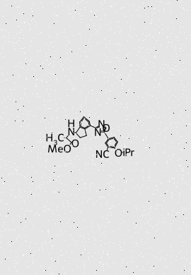 [C-]#[N+]c1cc(-c2nc(-c3cccc4c3CC[C@H]4N[C@@H](C)C(=O)OC)no2)ccc1OC(C)C